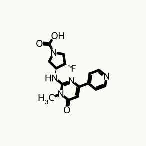 Cn1c(N[C@@H]2CN(C(=O)O)C[C@@H]2F)nc(-c2ccncc2)cc1=O